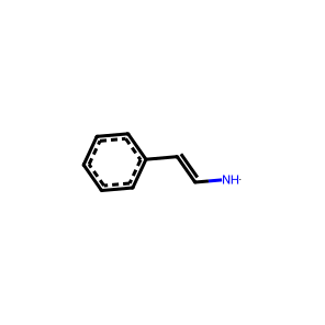 [NH]C=Cc1ccccc1